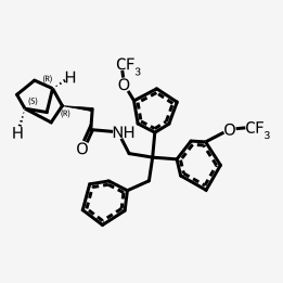 O=C(C[C@H]1C[C@H]2CC[C@@H]1C2)NCC(Cc1ccccc1)(c1cccc(OC(F)(F)F)c1)c1cccc(OC(F)(F)F)c1